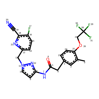 Cc1cc(CC(=O)Nc2ccn(Cc3ccc(F)c(C#N)n3)n2)ccc1OCC(F)(F)F